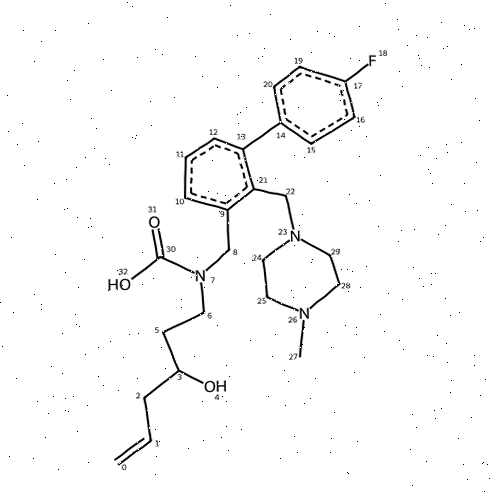 C=CCC(O)CCN(Cc1cccc(-c2ccc(F)cc2)c1CN1CCN(C)CC1)C(=O)O